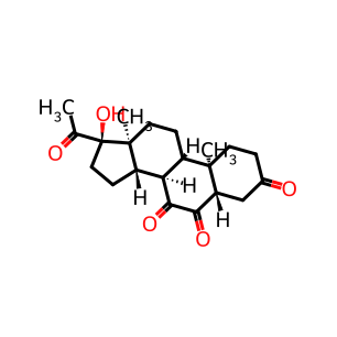 CC(=O)[C@@]1(O)CC[C@H]2[C@@H]3C(=O)C(=O)[C@H]4CC(=O)CC[C@]4(C)[C@H]3CC[C@@]21C